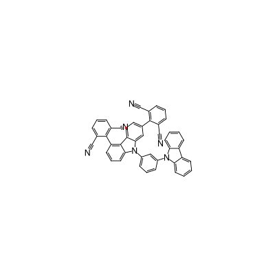 N#Cc1cccc(C#N)c1-c1ccc2c3c(-c4c(C#N)cccc4C#N)cccc3n(-c3cccc(-n4c5ccccc5c5ccccc54)c3)c2c1